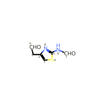 O=CCc1csc(NC=O)n1